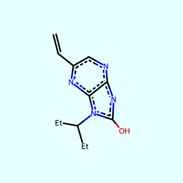 C=Cc1cnc2nc(O)n(C(CC)CC)c2n1